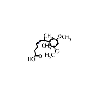 COc1cc(OC)cc(C(C)(C)/C=C\CCC(=O)O)c1